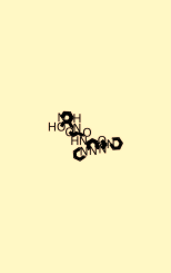 O=C(Nc1cc2oc(N3CCCCC3)nc2nc1N1CCCCC1)C1=COC(c2cccnc2O)N1